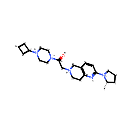 C[C@H]1CCCN1c1ccc2c(n1)CCN(CC(=O)N1CCN(C3CCC3)CC1)C2